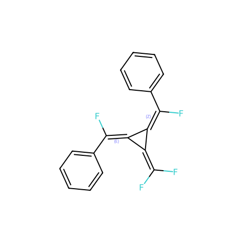 FC(F)=C1C(=C(\F)c2ccccc2)/C1=C(\F)c1ccccc1